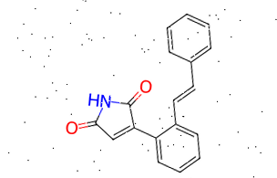 O=C1C=C(c2ccccc2C=Cc2ccccc2)C(=O)N1